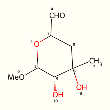 COC1OC(C=O)CC(C)(O)[C@@H]1O